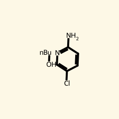 CCCCO.Nc1ccc(Cl)cn1